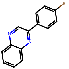 Brc1ccc(-c2cnc3ccccc3n2)cc1